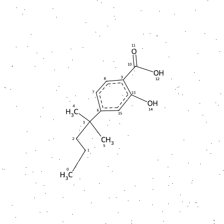 CCCC(C)(C)c1ccc(C(=O)O)c(O)c1